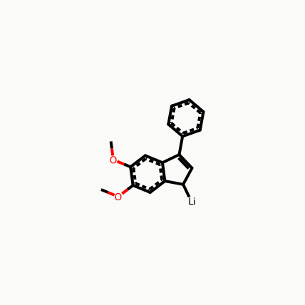 [Li][CH]1C=C(c2ccccc2)c2cc(OC)c(OC)cc21